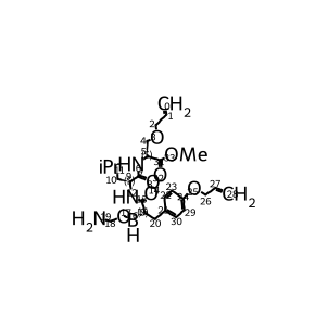 C=CCOC[C@H](NC(=O)[C@H](CC(C)C)NC(=O)[C@@H](BOCN)Cc1ccc(OCC=C)cc1)C(=O)OC